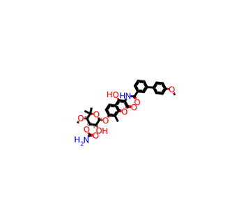 COc1ccc(-c2cccc(C(=O)Nc3c(O)c4ccc(O[C@@H]5OC(C)(C)[C@H](OC)[C@@H](OC(N)=O)[C@H]5O)c(C)c4oc3=O)c2)cc1